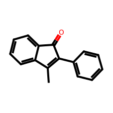 CC1=C(c2ccccc2)C(=O)c2ccccc21